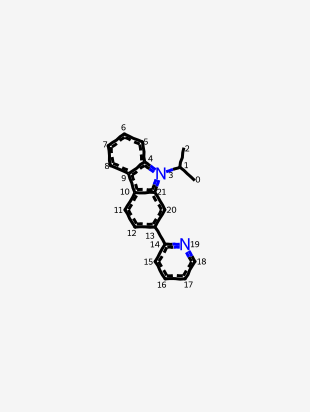 CC(C)n1c2ccccc2c2ccc(-c3ccccn3)cc21